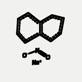 O=N[O-].[Na+].c1ccc2ccccc2c1